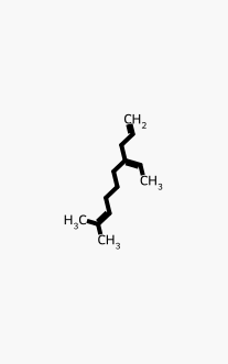 C=CCC(=CC)CCCC=C(C)C